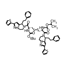 C=C(C)OC(=O)N[C@@H](CSSC[C@H](NC(=O)OC(C)(C)C)C(=O)N1CCn2nc(-c3cccs3)cc2C1CCc1ccccc1)C(=O)N1CCn2nc(-c3cccs3)cc2C1CCc1ccccc1